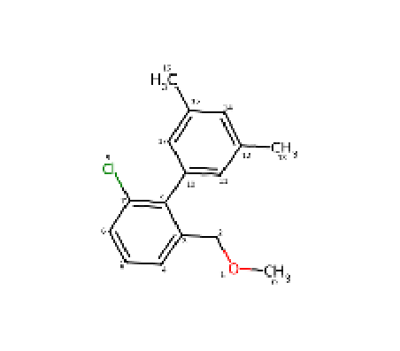 COCc1c[c]cc(Cl)c1-c1cc(C)cc(C)c1